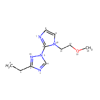 CCc1n[c]n(-c2nccn2CCOC)n1